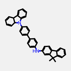 CC1(C)c2ccccc2-c2ccc(Nc3ccc(-c4ccc(N5c6ccccc6C6C=CC=CC65)cc4)cc3)cc21